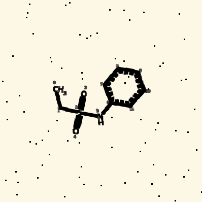 C[CH]S(=O)(=O)Nc1ccccc1